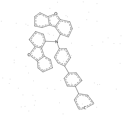 c1ccc(-c2ccc(-c3ccc(N(c4cccc5oc6ccccc6c45)c4cccc5oc6ccccc6c45)cc3)cc2)cc1